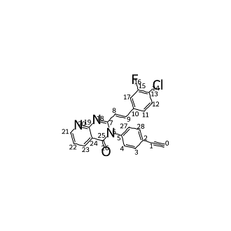 C#Cc1ccc(-n2c(C=Cc3ccc(Cl)c(F)c3)nc3ncccc3c2=O)cc1